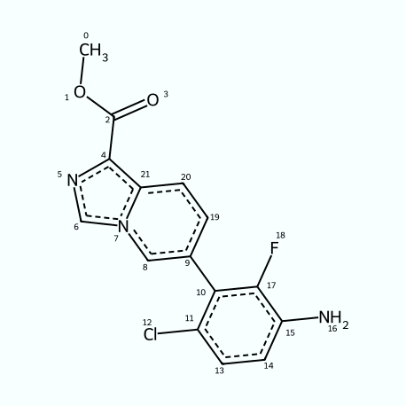 COC(=O)c1ncn2cc(-c3c(Cl)ccc(N)c3F)ccc12